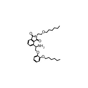 CCCCCCOCCN1C(=O)c2cccc(C(N)COc3ccccc3OCCCCCC)c2C1=O